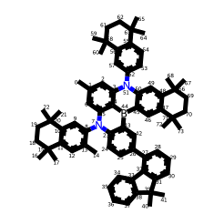 Cc1cc2c3c(c1)N(c1cc4c(cc1C)C(C)(C)CCC4(C)C)c1ccc(-c4cccc5c4-c4ccccc4C5(C)C)cc1B3c1cc3c(cc1N2c1ccc2c(c1)C(C)(C)CCC2(C)C)C(C)(C)CCC3(C)C